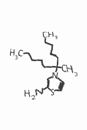 CCCCCC(C)(CCCCC)N1C=CSC(N)=C1